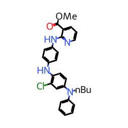 CCCCN(c1ccccc1)c1ccc(Nc2ccc(Nc3ncccc3C(=O)OC)cc2)c(Cl)c1